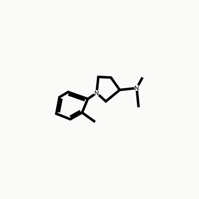 Cc1ccccc1N1CCC(N(C)C)C1